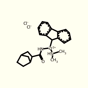 C[SiH](C)[Zr+2]([NH]C(=O)C1CC2CCC1C2)[CH]1c2ccccc2-c2ccccc21.[Cl-].[Cl-]